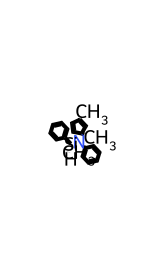 CC1=CC(C)(N(c2ccccc2)[SiH](C)c2ccccc2)C=C1